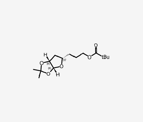 CC1(C)O[C@H]2O[C@@H](CCCOC(=O)C(C)(C)C)C[C@H]2O1